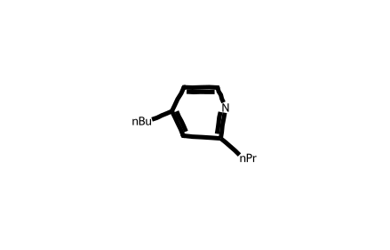 [CH2]CCc1cc(CCCC)ccn1